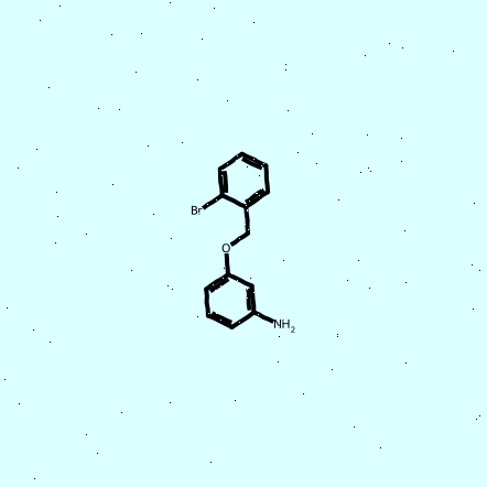 Nc1cccc(OCc2ccccc2Br)c1